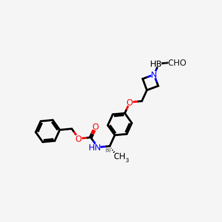 C[C@H](NC(=O)OCc1ccccc1)c1ccc(OCC2CN(BC=O)C2)cc1